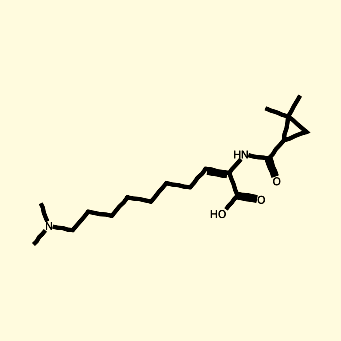 CN(C)CCCCCCCC=C(NC(=O)C1CC1(C)C)C(=O)O